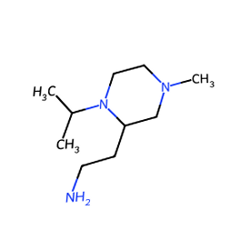 CC(C)N1CCN(C)CC1CCN